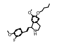 CCCCOc1cc2c(cc1OC)C(/C=C/c1ccc(OC)c(F)c1)NCC2